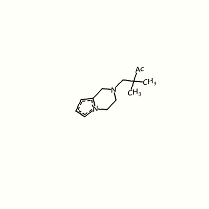 CC(=O)C(C)(C)CN1CCn2cccc2C1